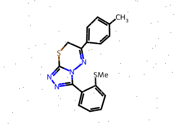 CSc1ccccc1-c1nnc2n1N=C(c1ccc(C)cc1)CS2